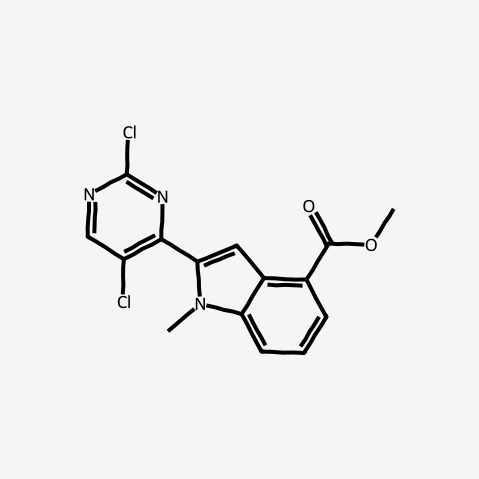 COC(=O)c1cccc2c1cc(-c1nc(Cl)ncc1Cl)n2C